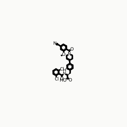 COc1cc(C#N)ccc1C(=O)N1CC=C(c2ccc(C[C@H](NC(=O)c3c(Cl)cccc3Cl)C(=O)O)cc2)CC1